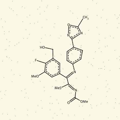 COC(=O)N=C(SC)C(=Nc1ccc(-c2noc(C)n2)cc1)c1cc(CO)c(F)c(OC)c1